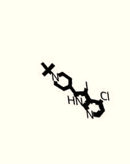 CC(C)(C)N1CCC(c2[nH]c3nccc(Cl)c3c2I)CC1